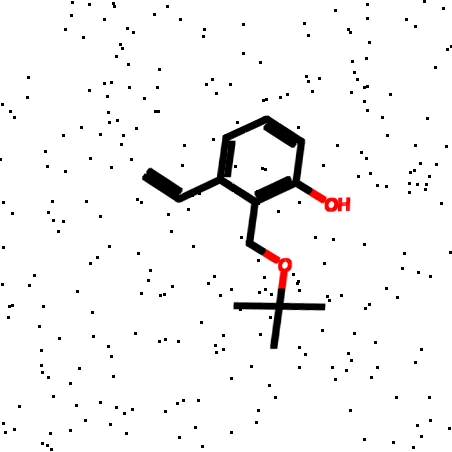 C=Cc1cccc(O)c1COC(C)(C)C